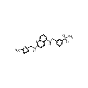 Cc1ccc(CNc2ccc3c(NCc4cccc(S(N)(=O)=O)c4)cccc3n2)o1